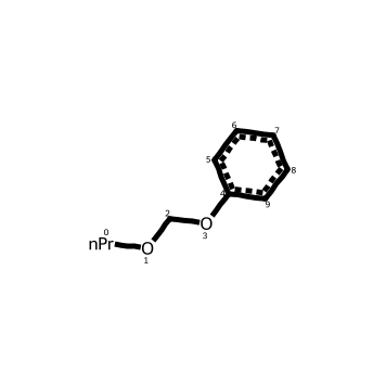 CCCOCOc1ccccc1